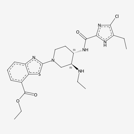 CCN[C@H]1CN(c2nc3cccc(C(=O)OCC)c3s2)CC[C@@H]1NC(=O)c1nc(Cl)c(CC)[nH]1